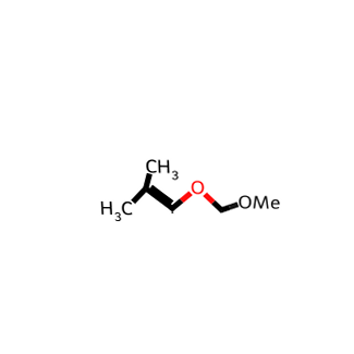 COCO[C]=C(C)C